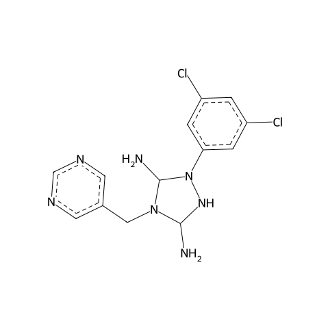 NC1NN(c2cc(Cl)cc(Cl)c2)C(N)N1Cc1cncnc1